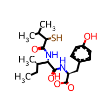 CC[C@H](C)[C@H](NC(=O)C(S)C(C)C)C(=O)N[C@@H](Cc1ccc(O)cc1)C(=O)O